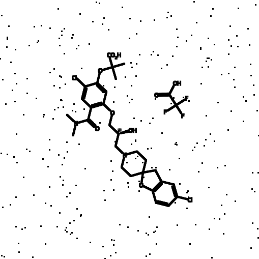 CN(C)C(=O)c1cc(Cl)c(OC(C)(C)C(=O)O)cc1OC[C@@H](O)CN1CCC2(CC1)Cc1cc(Cl)ccc1O2.O=C(O)C(F)(F)F